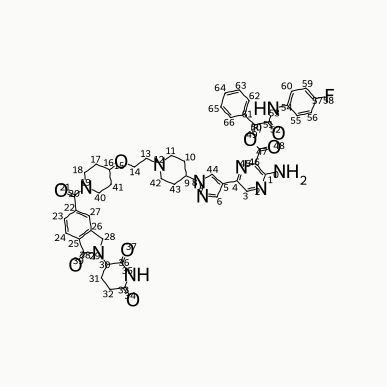 Nc1ncc(-c2cnn(C3CCN(CCOC4CCN(C(=O)c5ccc6c(c5)CN(C5CCC(=O)NC5=O)C6=O)CC4)CC3)c2)nc1C(=O)O[C@@H](C(=O)Nc1ccc(F)cc1)c1ccccc1